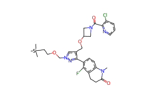 CN1C(=O)CCc2c1ccc(-c1nn(COCC[Si](C)(C)C)cc1COC1CN(C(=O)c3ncccc3Cl)C1)c2F